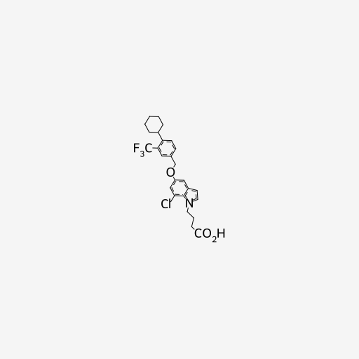 O=C(O)CCCn1ccc2cc(OCc3ccc(C4CCCCC4)c(C(F)(F)F)c3)cc(Cl)c21